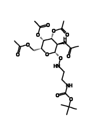 CC(=O)N[C@H]1[C@H](ONCCNC(=O)OC(C)(C)C)O[C@H](COC(C)=O)[C@H](OC(C)=O)[C@@H]1OC(C)=O